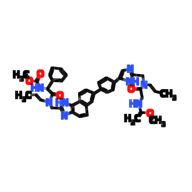 C=C(NCC(=O)N(CCC)Cc1ncc(-c2ccc(-c3ccc4c(ccc5nc(CN(CCC)C(=O)[C@H](NC(=O)OC)c6ccccc6)[nH]c54)c3)cc2)[nH]1)OC